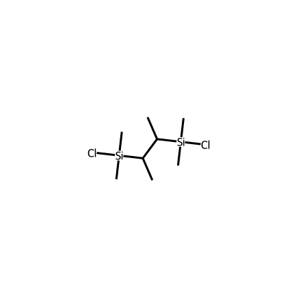 CC(C(C)[Si](C)(C)Cl)[Si](C)(C)Cl